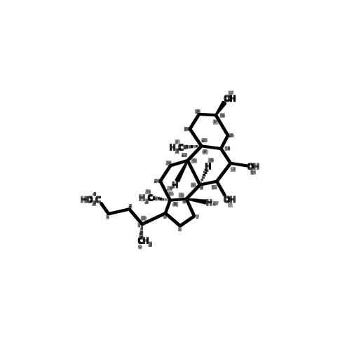 C[C@H](CCC(=O)O)C1CC[C@H]2[C@@H]3C(O)C(O)C4C[C@H](O)CC[C@]4(C)[C@H]3CC[C@]12C